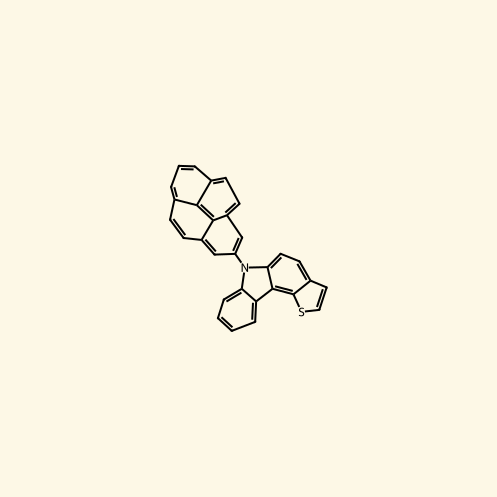 c1cc2ccc3cc(-n4c5ccccc5c5c6sccc6ccc54)cc4ccc(c1)c2c34